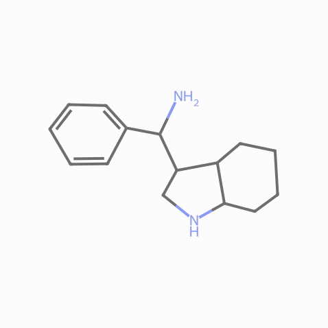 NC(c1ccccc1)C1CNC2CCCCC21